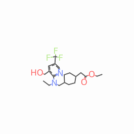 CCOC(=O)CC1CCC(CN(CC)c2ncc(C(F)(F)F)cc2CO)CC1